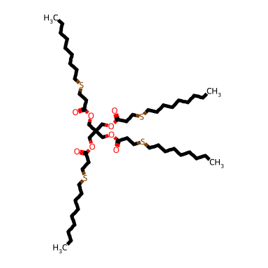 CCCCCCCCCSCCC(=O)OCC(COC(=O)CCSCCCCCCCCC)(COC(=O)CCSCCCCCCCCC)COC(=O)CCSCCCCCCCCC